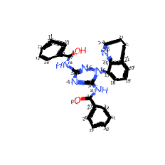 O=C(Nc1nc(NC(O)c2ccccc2)nn1-c1cccc2cccnc12)c1ccccc1